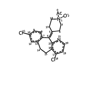 CC(=O)[N+]1([O-])CCC(=C2c3ccc(Cl)cc3CCc3c(Cl)ccnc32)CC1